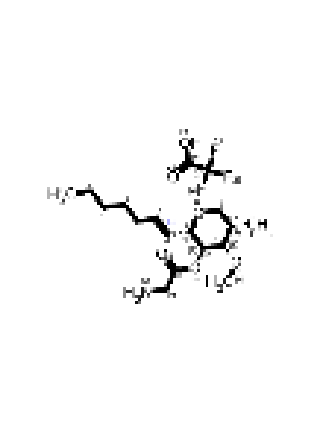 CCCCC/C=C/[C@@H]1OC[C@H](C)[C@H](OC)[C@H]1OC(=O)CN.O=C(O)C(F)(F)F